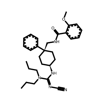 CCCN(CCC)/C(=N/C#N)N[C@H]1CC[C@](CNC(=O)c2ccccc2OC)(c2ccccc2)CC1